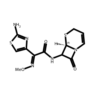 CON=C(C(=O)NC1C(=O)N2C=CCS[C@H]12)c1csc(N)n1